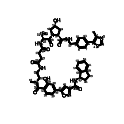 Cc1ncsc1-c1ccc(CNC(=O)[C@@H]2C[C@@H](O)CN2C(=O)[C@@H](NC(=O)CCC(=O)NCCN(C)C(=O)c2ccc(-c3cc(C(=O)N[C@@H]4CCc5ccccc54)no3)cc2O)C(C)(C)C)cc1